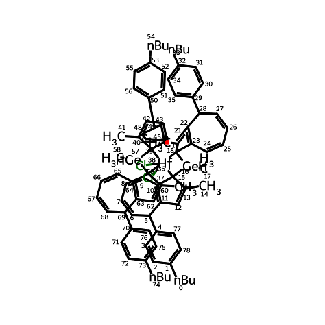 CCCCc1ccc(C2C=CC=CC3=C2C=C(C)[C]32[GeH]([CH3])[C]3(C(C)=CC4=C3C=CC=CC4c3ccc(CCCC)cc3)[Hf]23([Cl])([Cl])[C]2(C(C)=CC4=C2C=CC=CC4c2ccc(CCCC)cc2)[GeH]([CH3])[C]32C(C)=CC3=C2C=CC=CC3c2ccc(CCCC)cc2)cc1